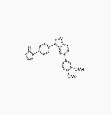 COc1ccc(-c2ccc3ncc(-c4ccc(-c5ccc[nH]5)cc4)n3n2)cc1OC